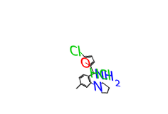 Cc1ccc(C(N)c2ccc(Cl)o2)c(N2CCCC2)c1.Cl